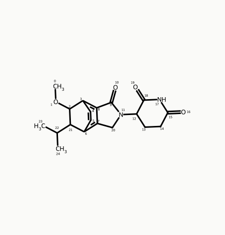 COC1c2ccc(c3c2C(=O)N(C2CCC(=O)NC2=O)C3)C1C(C)C